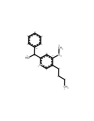 CCCCc1cnc(C(O)c2ccccc2)cc1OC